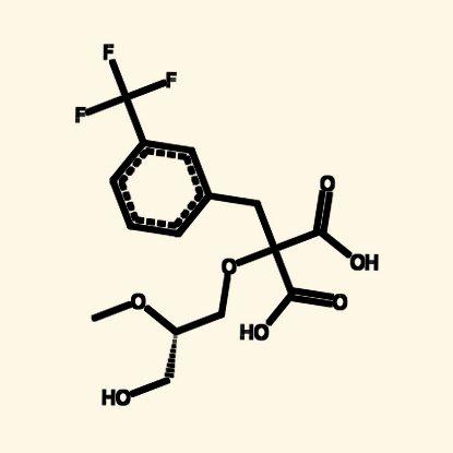 CO[C@@H](CO)COC(Cc1cccc(C(F)(F)F)c1)(C(=O)O)C(=O)O